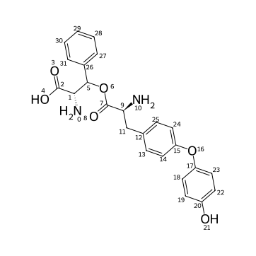 N[C@H](C(=O)O)C(OC(=O)[C@@H](N)Cc1ccc(Oc2ccc(O)cc2)cc1)c1ccccc1